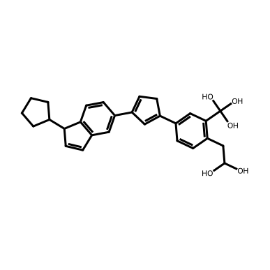 OC(O)Cc1ccc(C2=CC(c3ccc4c(c3)C=CC4C3CCCC3)=CC2)cc1C(O)(O)O